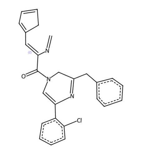 C=N/C(=C\C1=CC=CC1)C(=O)N1C=C(c2ccccc2Cl)N=C(Cc2ccccc2)C1